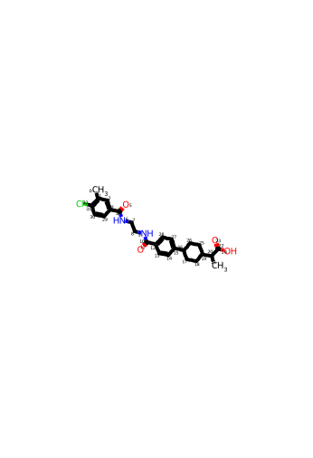 Cc1cc(C(=O)NCCNC(=O)c2ccc(C3CCC(C(C)C(=O)O)CC3)cc2)ccc1Cl